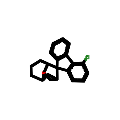 Clc1cccc2c1-c1ccccc1C21C2CCC13CCCC(C2)C3